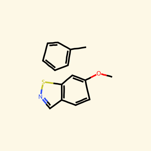 COc1ccc2cnsc2c1.Cc1ccccc1